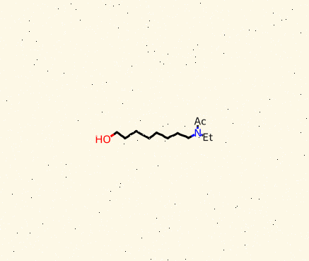 CCN(CCCCCCCCO)C(C)=O